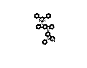 c1ccc(-c2cc(-c3ccccc3)nc(-n3c4ccccc4c4cc5c(cc43)c3ccccc3n5-c3ccc4c(c3)c3ccncc3n4-c3ccccc3)n2)cc1